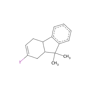 CC1(C)c2ccccc2C2CC=C(I)CC21